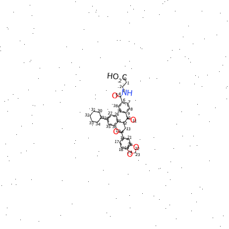 O=C(O)CCNC(=O)c1ccc(C(=O)C(CC(=O)c2ccc3c(c2)OCO3)c2ccc(C3CCCCC3)cc2)cc1